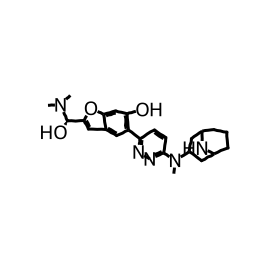 CN(c1ccc(-c2cc3cc([C@@H](O)N(C)C)oc3cc2O)nn1)C1CC2CCCC(C1)N2